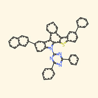 c1ccc(-c2ccc3sc4c(c3c2)c2ccccc2c2c3cc(-c5ccc6ccccc6c5)ccc3n(-c3nc(-c5ccccc5)nc(-c5ccccc5)n3)c42)cc1